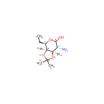 CC[C@H]1OC(O)[C@H](N)[C@H]2OC(C)(C)O[C@H]21